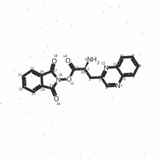 N[C@@H](Cc1cnc2ccccc2n1)C(=O)ON1C(=O)c2ccccc2C1=O